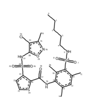 CCCCCNS(=O)(=O)c1c(C)cc(C)c(NC(=O)c2sccc2S(=O)(=O)Nc2onc(C)c2Cl)c1C